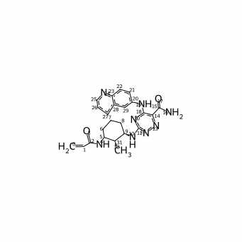 C=CC(=O)NC1CCC[C@@H](Nc2nnc(C(N)=O)c(Nc3ccc4ncccc4c3)n2)[C@H]1C